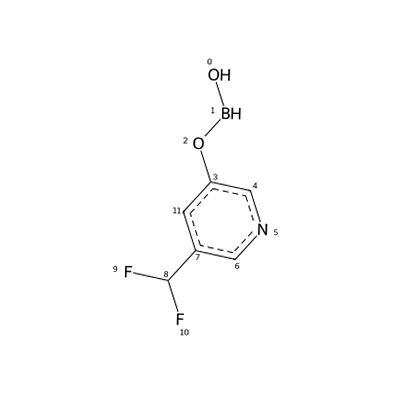 OBOc1cncc(C(F)F)c1